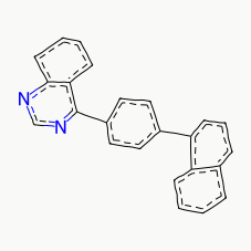 c1ccc2c(-c3ccc(-c4ncnc5ccccc45)cc3)cccc2c1